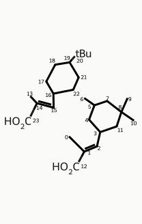 C/C(=C\C1CC(C)CC(C)(C)C1)C(=O)O.C/C(=C\C1CCC(C(C)(C)C)CC1)C(=O)O